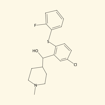 CN1CCC(C(O)c2cc(Cl)ccc2Sc2ccccc2F)CC1